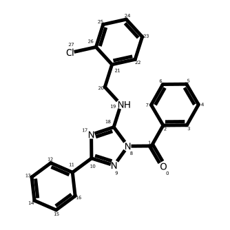 O=C(c1ccccc1)n1nc(-c2ccccc2)nc1NCc1ccccc1Cl